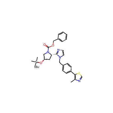 Cc1ncsc1-c1ccc(Cn2ccnc2[C@@H]2C[C@@H](O[Si](C)(C)C(C)(C)C)CN2C(=O)OCc2ccccc2)cc1